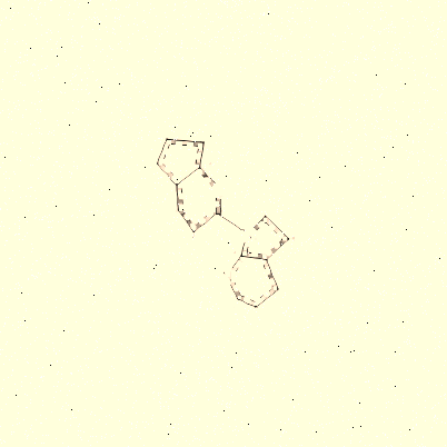 c1cc2ccc(-n3ccc4cccnc43)oc-2c1